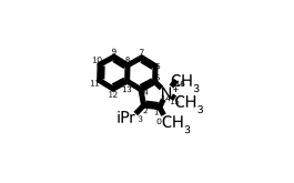 CC1=C(C(C)C)c2c(ccc3ccccc23)[N+]1(C)C